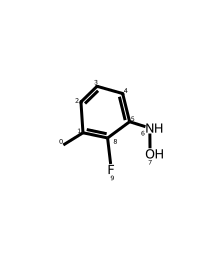 Cc1cccc(NO)c1F